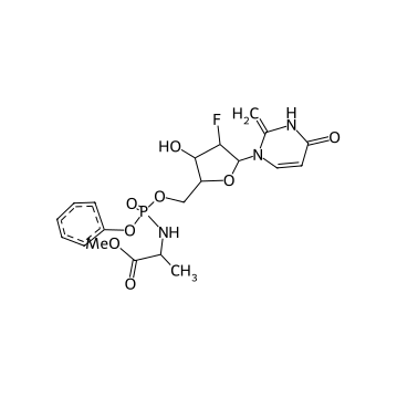 C=C1NC(=O)C=CN1C1OC(COP(=O)(NC(C)C(=O)OC)Oc2ccccc2)C(O)C1F